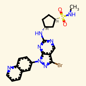 CNS(=O)(=O)[C@H]1CC[C@@H](Nc2ncc3c(Br)nn(-c4ccc5ncccc5c4)c3n2)C1